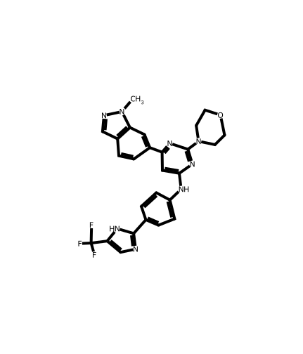 Cn1ncc2ccc(-c3cc(Nc4ccc(-c5ncc(C(F)(F)F)[nH]5)cc4)nc(N4CCOCC4)n3)cc21